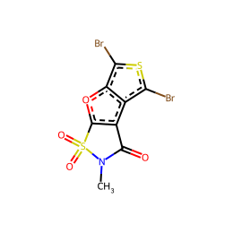 CN1C(=O)c2c(oc3c(Br)sc(Br)c23)S1(=O)=O